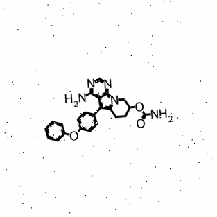 NC(=O)OC1CCc2c(-c3ccc(Oc4ccccc4)cc3)c3c(N)ncnc3n2C1